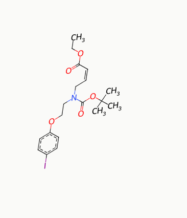 CCOC(=O)/C=C\CN(CCOc1ccc(I)cc1)C(=O)OC(C)(C)C